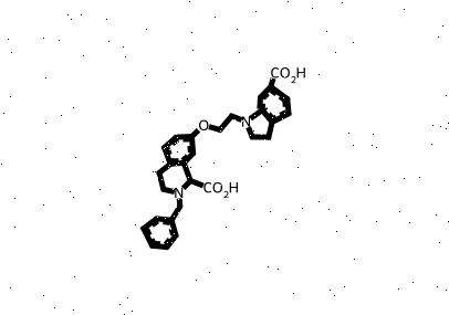 O=C(O)c1ccc2c(c1)N(CCOc1ccc3c(c1)C(C(=O)O)N(Cc1ccccc1)CC3)CC2